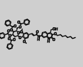 CCCCCCCCOc1c(CO)c2ccc(NC(=O)C=Cc3cc(OC)c(O[C@@H]4O[C@H](COC(=O)c5ccccc5)[C@H](OC(=O)c5ccccc5)[C@H](OC(=O)c5ccccc5)[C@H]4OC(=O)c4ccccc4)c(OC)c3)cc2[nH]c1=O